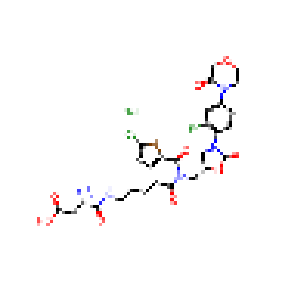 Cl.N[C@@H](CC(=O)O)C(=O)NCCCCC(=O)N(C[C@H]1CN(c2ccc(N3CCOCC3=O)cc2F)C(=O)O1)C(=O)c1ccc(Cl)s1